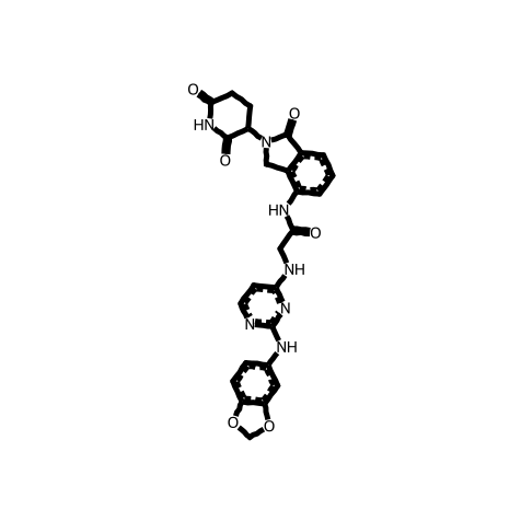 O=C1CCC(N2Cc3c(NC(=O)CNc4ccnc(Nc5ccc6c(c5)OCO6)n4)cccc3C2=O)C(=O)N1